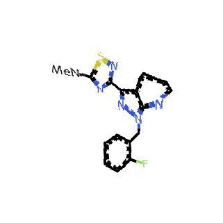 CNc1nc(-c2nn(Cc3ccccc3F)c3ncccc23)ns1